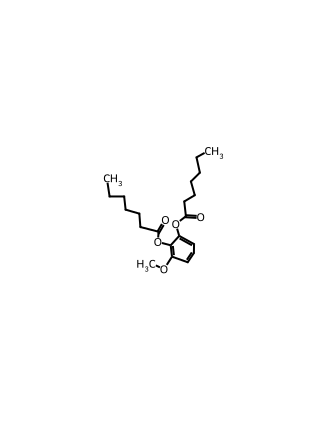 CCCCCCC(=O)Oc1cccc(OC)c1OC(=O)CCCCCC